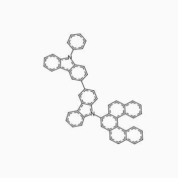 c1ccc(-n2c3ccccc3c3cc(-c4ccc5c(c4)c4ccccc4n5-c4cc5ccc6ccccc6c5c5c4ccc4ccccc45)ccc32)cc1